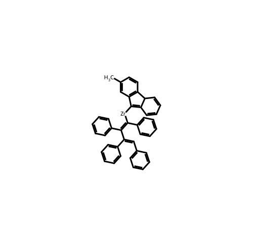 Cc1ccc2c(c1)[C]([Zr][C](=C(C(=Cc1ccccc1)c1ccccc1)c1ccccc1)c1ccccc1)=C1C=CC=CC12